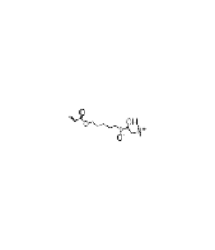 C=CC(=O)OCCCCC/[P+]([O-])=C(\O)C[N+](C)(C)C